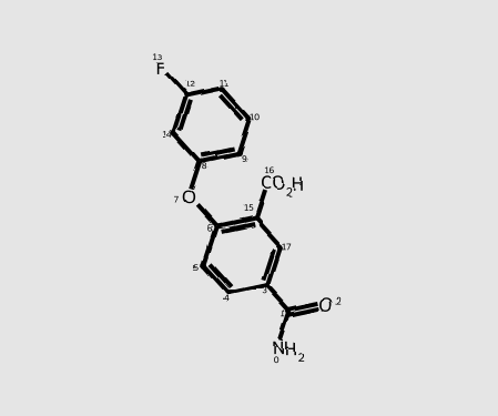 NC(=O)c1ccc(Oc2cccc(F)c2)c(C(=O)O)c1